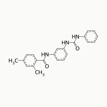 Cc1ccc(C(=O)Nc2cccc(NC(=O)Nc3ccccc3)c2)c(C)c1